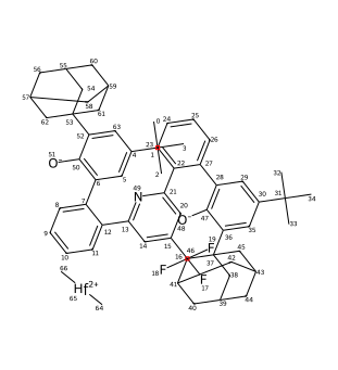 CC(C)(C)c1cc(-c2ccccc2-c2cc(C(F)(F)F)cc(-c3ccccc3-c3cc(C(C)(C)C)cc(C45CC6CC(CC(C6)C4)C5)c3[O-])n2)c([O-])c(C23CC4CC(CC(C4)C2)C3)c1.[CH3][Hf+2][CH3]